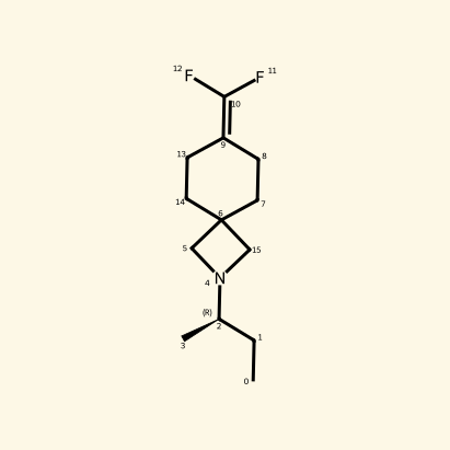 CC[C@@H](C)N1CC2(CCC(=C(F)F)CC2)C1